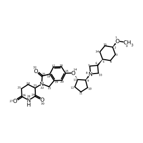 CO[C@H]1CC[C@@H](C2CN([C@H]3CCC[C@@H]3Oc3ccc4c(c3)CN(C3CCC(=O)NC3=O)C4=O)C2)CC1